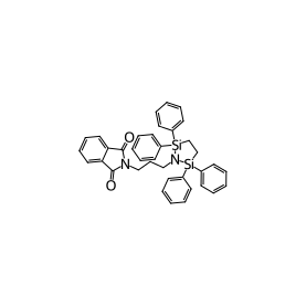 O=C1c2ccccc2C(=O)N1CCCN1[Si](c2ccccc2)(c2ccccc2)CC[Si]1(c1ccccc1)c1ccccc1